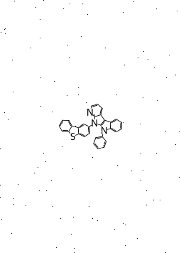 c1ccc(-n2c3ccccc3c3c4cccnc4n(-c4ccc5sc6ccccc6c5c4)c32)cc1